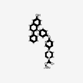 CC(C)(C)OC(=O)N1CCN(c2ccc(Oc3ccc([C@@H]4c5ccc(O)cc5CCC4c4ccccc4)cc3)nc2)CC1